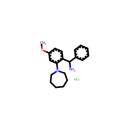 COc1ccc(C(N)c2ccccc2)c(N2CCCCCC2)c1.Cl